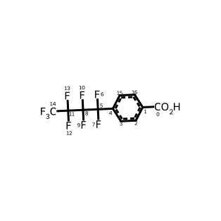 O=C(O)c1ccc(C(F)(F)C(F)(F)C(F)(F)C(F)(F)F)cc1